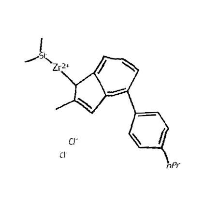 CCCc1ccc(-c2cccc3c2C=C(C)[CH]3[Zr+2][Si](C)C)cc1.[Cl-].[Cl-]